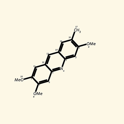 COc1cc2nc3cc(OC)c(OC)cc3cc2cc1C